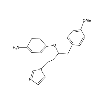 COc1ccc(CC(CCn2ccnc2)Oc2ccc(N)cc2)cc1